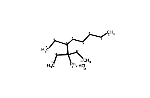 CCCCCC(CC)C(P)(CC)CC.Cl